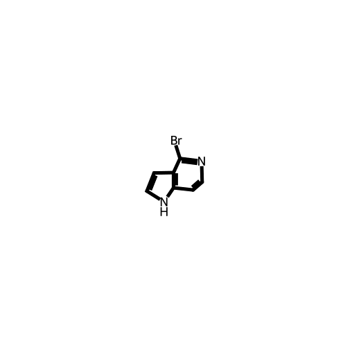 Brc1nccc2[nH]ccc12